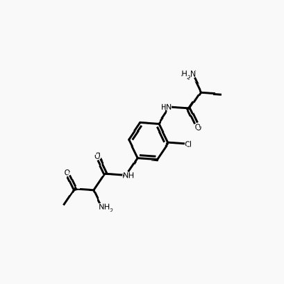 CC(=O)C(N)C(=O)Nc1ccc(NC(=O)C(C)N)c(Cl)c1